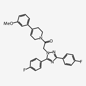 COc1cccc(C2=CCN(C(=O)Cn3nc(-c4ccc(F)cc4)nc3-c3ccc(F)cc3)CC2)c1